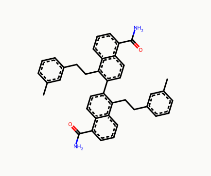 Cc1cccc(CCc2c(-c3ccc4c(C(N)=O)cccc4c3CCc3cccc(C)c3)ccc3c(C(N)=O)cccc23)c1